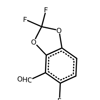 O=Cc1c(F)ccc2c1OC(F)(F)O2